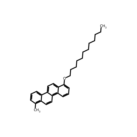 CCCCCCCCCCCCOc1cccc2c1ccc1c3cccc(C)c3ccc21